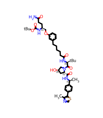 Cc1ncsc1-c1ccc([C@H](C)NC(=O)[C@@H]2C[C@@H](O)CN2C(=O)[C@@H](NC(=O)CCCCCc2cccc(OC[C@H](CCC(N)=O)NC(=O)OC(C)(C)C)c2)C(C)(C)C)cc1